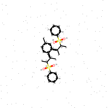 CC(=c1[c]c(C)ccc1=C(C)C(C)S(=O)(=O)c1ccccc1)C(C)S(=O)(=O)c1ccccc1